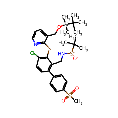 CC(C)(C)[S+]([O-])NCc1c(-c2ccc(S(C)(=O)=O)cc2)ccc(Cl)c1Sc1ncccc1CO[Si](C)(C)C(C)(C)C